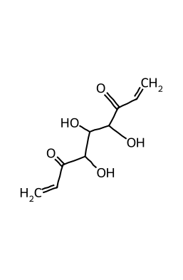 C=CC(=O)C(O)C(O)C(O)C(=O)C=C